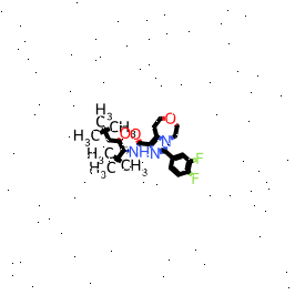 CC(C)(C)CC(=O)[C@@H](NC(=O)c1nc(-c2ccc(F)c(F)c2)n2c1CCOCC2)C(C)(C)C